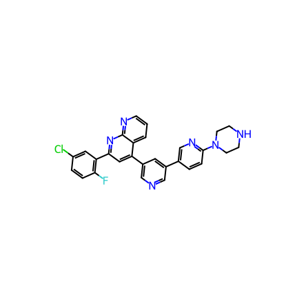 Fc1ccc(Cl)cc1-c1cc(-c2cncc(-c3ccc(N4CCNCC4)nc3)c2)c2cccnc2n1